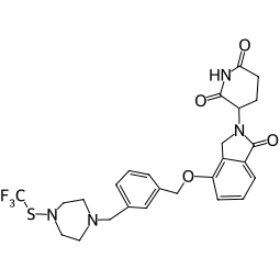 O=C1CCC(N2Cc3c(OCc4cccc(CN5CCN(SC(F)(F)F)CC5)c4)cccc3C2=O)C(=O)N1